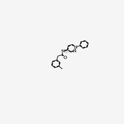 Cc1cccc(CC(=O)/N=c2/ccn(-c3ccccc3)nc2)c1